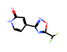 O=c1cc(-c2noc(C(F)F)n2)cc[nH]1